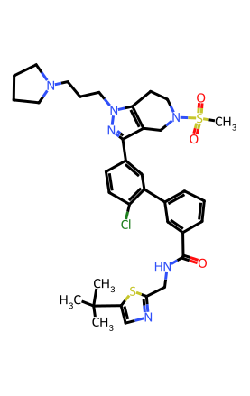 CC(C)(C)c1cnc(CNC(=O)c2cccc(-c3cc(-c4nn(CCCN5CCCC5)c5c4CN(S(C)(=O)=O)CC5)ccc3Cl)c2)s1